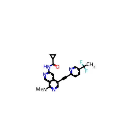 CNc1ncc(C#Cc2ccc(C(C)(F)F)cn2)c2cc(NC(=O)C3CC3)ncc12